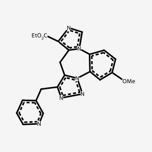 CCOC(=O)c1ncn2c1Cc1c(Cc3cccnc3)nnn1-c1cc(OC)ccc1-2